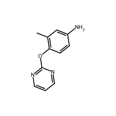 Cc1cc(N)ccc1Oc1ncccn1